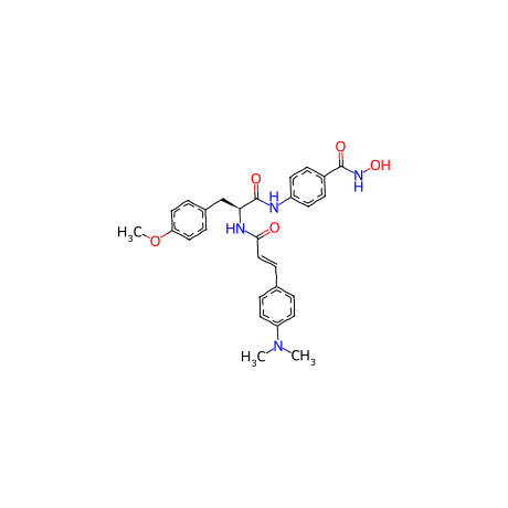 COc1ccc(C[C@H](NC(=O)/C=C/c2ccc(N(C)C)cc2)C(=O)Nc2ccc(C(=O)NO)cc2)cc1